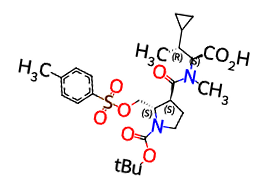 Cc1ccc(S(=O)(=O)OC[C@@H]2[C@@H](C(=O)N(C)[C@H](C(=O)O)[C@H](C)C3CC3)CCN2C(=O)OC(C)(C)C)cc1